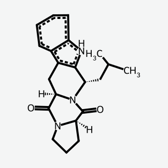 CC(C)C[C@H]1c2[nH]c3ccccc3c2C[C@@H]2C(=O)N3CCC[C@@H]3C(=O)N21